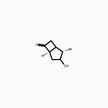 O=C1CC2[C@H](Br)C(O)C[C@@H]12